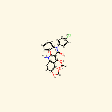 CC(=O)Oc1c(C(=O)N(c2ccccc2)c2ccc(Cl)cc2)c(=O)n(C)c2ccc3c(c12)OCO3